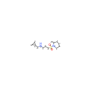 C[C@H]1CCCCN1S(=O)(=O)CCCNCC1CC1